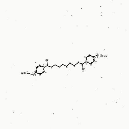 CCCCCCNc1cc[n+](C(Br)CCCCCCCCC(Br)[n+]2ccc(NCCCCCC)cc2)cc1